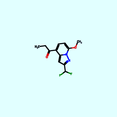 CCC(=O)c1ccc(OC)n2nc(C(F)F)cc12